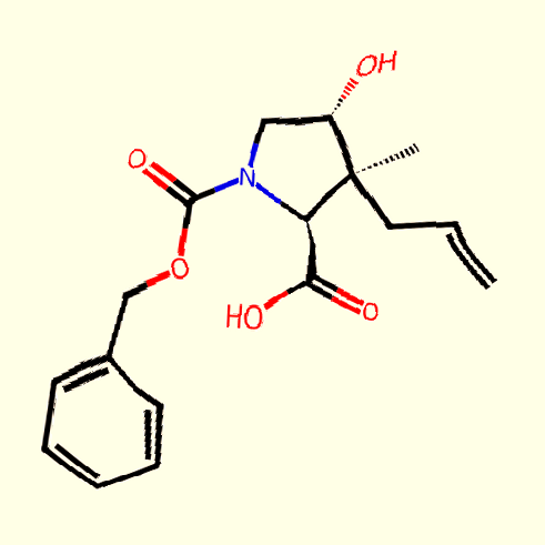 C=CC[C@]1(C)[C@@H](O)CN(C(=O)OCc2ccccc2)[C@@H]1C(=O)O